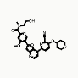 COc1cc(C(=O)N(C)CCO)ncc1-c1cc2nccc(-c3ccc(OC4CCOCC4)c(C#N)n3)c2o1